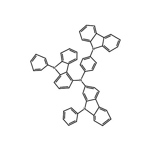 c1ccc(-n2c3ccccc3c3ccc(N(c4ccc(-n5c6ccccc6c6ccccc65)cc4)c4cccc5c4c4ccccc4n5-c4ccccc4)cc32)cc1